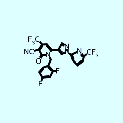 N#Cc1c(C(F)(F)F)cc(-c2cnn(-c3cccc(C(F)(F)F)n3)c2)n(Cc2ccc(F)cc2F)c1=O